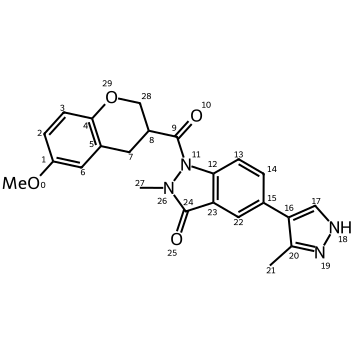 COc1ccc2c(c1)CC(C(=O)n1c3ccc(-c4c[nH]nc4C)cc3c(=O)n1C)CO2